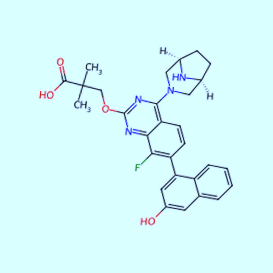 CC(C)(COc1nc(N2C[C@H]3CC[C@@H](C2)N3)c2ccc(-c3cc(O)cc4ccccc34)c(F)c2n1)C(=O)O